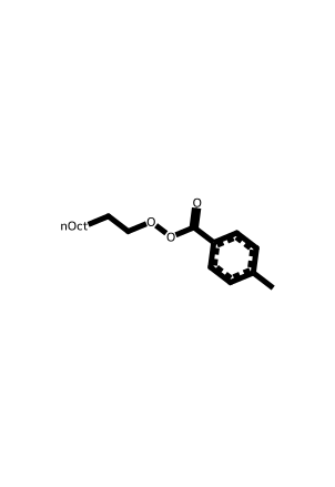 [CH2]CCCCCCCCCOOC(=O)c1ccc(C)cc1